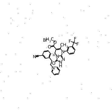 COC(=O)C1=C(C)N(c2cccc(C(F)(F)F)c2)c2n[nH]c(=O)n2[C@@H]1c1ccc(C#N)cc1CC[n+]1ccccc1.[Br-]